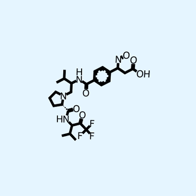 CC(C)C(CN1CCC[C@H]1C(=O)NC(C(=O)C(F)(F)F)C(C)C)NC(=O)c1ccc(C(CC(=O)O)N=O)cc1